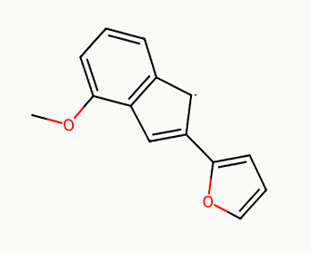 COc1cccc2c1C=C(c1ccco1)[CH]2